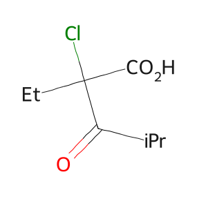 CCC(Cl)(C(=O)O)C(=O)C(C)C